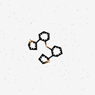 c1csc(-c2ccccc2Sc2ccccc2-c2cccs2)c1